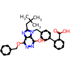 CC(C)(C)Cc1nc2c(OCc3ccccc3)nnc(O)c2n1Cc1ccc(-c2ccccc2C(=O)O)cc1